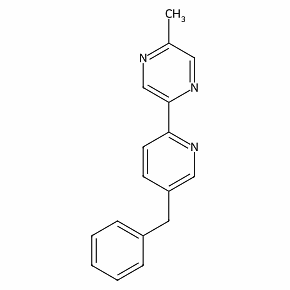 Cc1cnc(-c2ccc(Cc3ccccc3)cn2)cn1